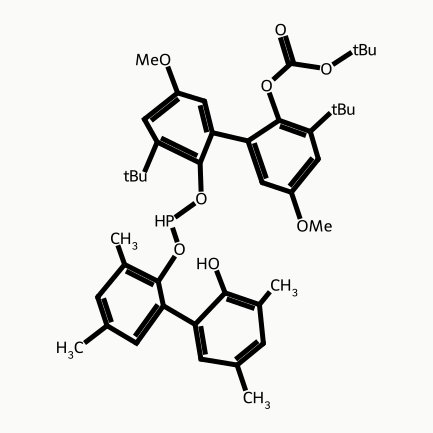 COc1cc(-c2cc(OC)cc(C(C)(C)C)c2OC(=O)OC(C)(C)C)c(OPOc2c(C)cc(C)cc2-c2cc(C)cc(C)c2O)c(C(C)(C)C)c1